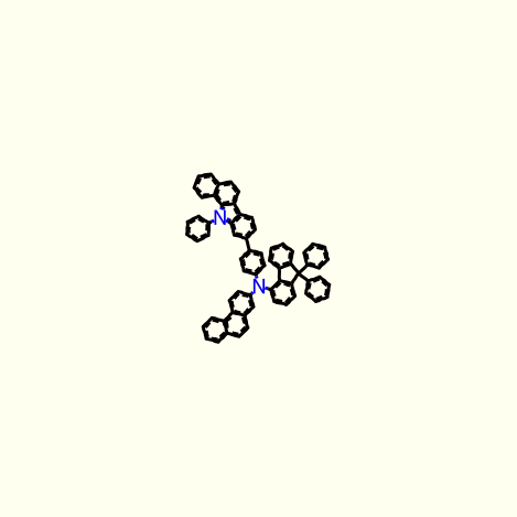 c1ccc(-n2c3cc(-c4ccc(N(c5ccc6c(ccc7ccccc76)c5)c5cccc6c5-c5ccccc5C6(c5ccccc5)c5ccccc5)cc4)ccc3c3ccc4ccccc4c32)cc1